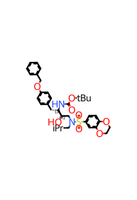 CC(C)CN(C[C@@H](O)[C@H](Cc1ccc(OCc2ccccc2)cc1)NC(=O)OC(C)(C)C)S(=O)(=O)c1ccc2c(c1)OCCO2